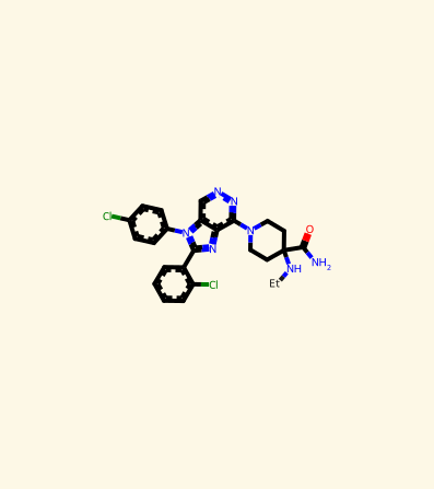 CCNC1(C(N)=O)CCN(c2nncc3c2nc(-c2ccccc2Cl)n3-c2ccc(Cl)cc2)CC1